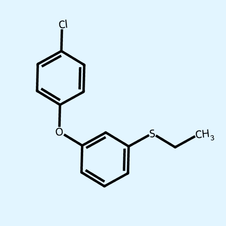 CCSc1cccc(Oc2ccc(Cl)cc2)c1